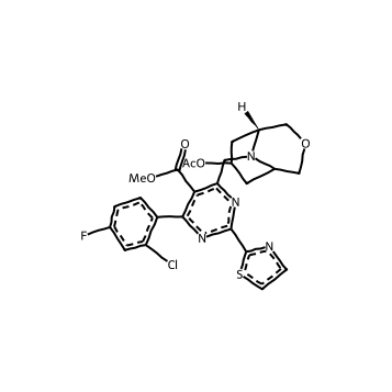 COC(=O)c1c(CN2C3COC[C@H]2CC(OC(C)=O)C3)nc(-c2nccs2)nc1-c1ccc(F)cc1Cl